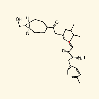 C=C(C)/C=C\C(=C/C)CC(=N)C(=O)/C=C/C(C)C(C)C/C(=C\C)CC(=O)C1CC[C@@H]2[C@@H](CO)[C@@H]2CC1